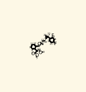 CON=C(C(=O)OC)c1ccccc1CON=CC[C@@H]1C[C@@]1(C)c1ccc(F)cc1F